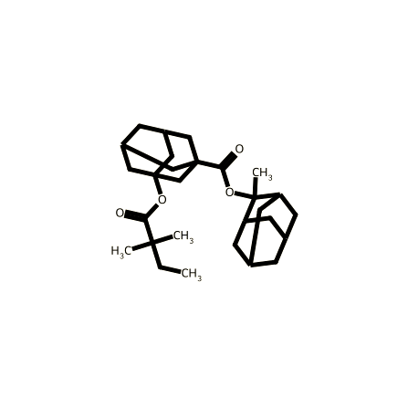 CCC(C)(C)C(=O)OC12CC3CC(C1)CC(C(=O)OC1(C)C4CC5CC(C4)CC1C5)(C3)C2